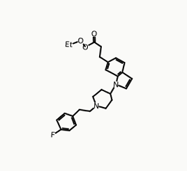 CCOOC(=O)CCc1ccc2ccn(C3CCN(CCc4ccc(F)cc4)CC3)c2c1